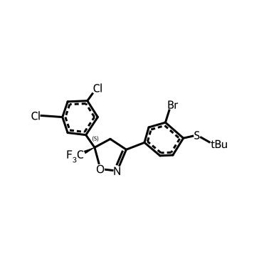 CC(C)(C)Sc1ccc(C2=NO[C@@](c3cc(Cl)cc(Cl)c3)(C(F)(F)F)C2)cc1Br